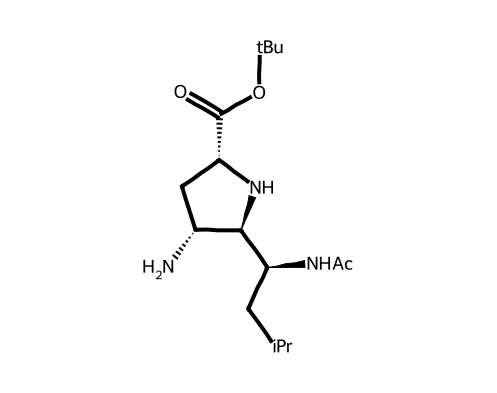 CC(=O)N[C@@H](CC(C)C)[C@@H]1N[C@@H](C(=O)OC(C)(C)C)C[C@H]1N